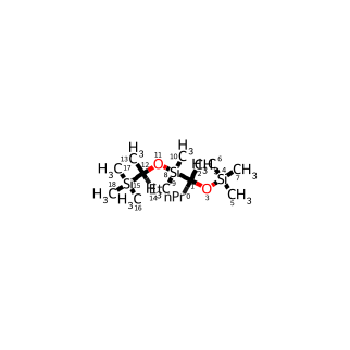 CCCC(C)(O[Si](C)(C)C)[Si](C)(C)OC(C)(CC)[Si](C)(C)C